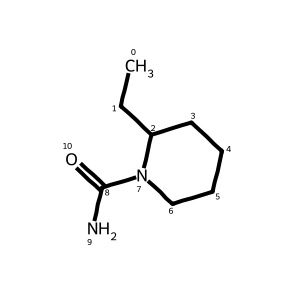 CCC1CCCCN1C(N)=O